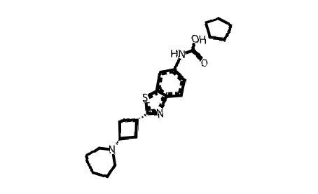 C1CCCC1.O=C(O)Nc1ccc2nc([C@H]3C[C@@H](N4CCCCC4)C3)sc2c1